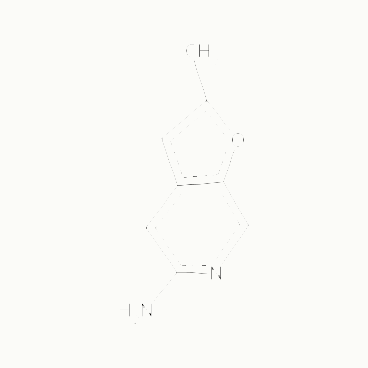 Cc1cc2cc(N)ncc2o1